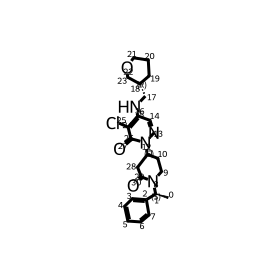 C[C@@H](c1ccccc1)N1CC[C@H](n2ncc(NC[C@H]3CCCOC3)c(Cl)c2=O)CC1=O